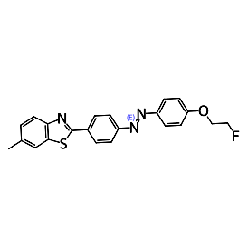 Cc1ccc2nc(-c3ccc(/N=N/c4ccc(OCCF)cc4)cc3)sc2c1